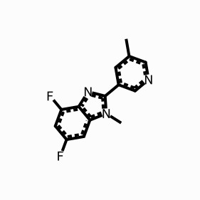 Cc1cncc(-c2nc3c(F)cc(F)cc3n2C)c1